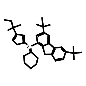 CCC(C)(C)C1=CC[C]([Zr](=[C]2CCCCC2)[c]2cc(C(C)(C)C)cc3c2Cc2ccc(C(C)(C)C)cc2-3)=C1